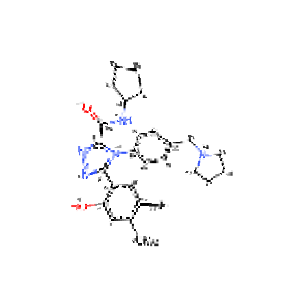 COc1cc(O)c(-c2nnc(C(=O)NC3CCCC3)n2-c2ccc(CN3CCCC3)cc2)cc1C(C)C